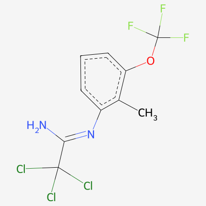 Cc1c(/N=C(\N)C(Cl)(Cl)Cl)cccc1OC(F)(F)F